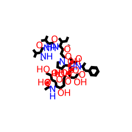 CCC(C)C(NC(=O)C(NC(=O)C(NC)C(C)C)C(C)C)C(CC(=O)N1CCCC1C(OC)C(C)C(=O)NC(C)C(OC1OC(CO)C(O)C(OC2(C(=O)O)CC(O)C(NC(C)=O)C(C(O)C(O)CO)O2)C1O)c1ccccc1)OC